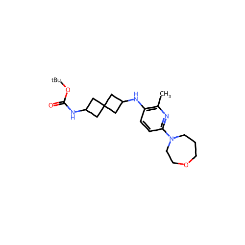 Cc1nc(N2CCCOCC2)ccc1NC1CC2(CC(NC(=O)OC(C)(C)C)C2)C1